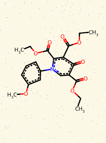 CCOC(=O)c1cn(-c2cccc(OC)c2)c(C(=O)OCC)c(C(=O)OCC)c1=O